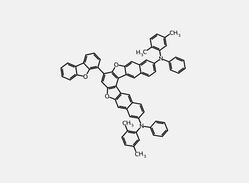 Cc1ccc(C)c(N(c2ccccc2)c2ccc3cc4c(cc3c2)oc2cc(-c3cccc5c3oc3ccccc35)c3oc5cc6cc(N(c7ccccc7)c7cc(C)ccc7C)ccc6cc5c3c24)c1